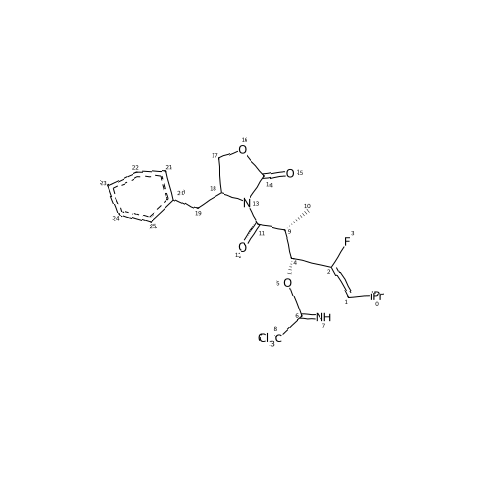 CC(C)/C=C(\F)[C@H](OC(=N)C(Cl)(Cl)Cl)[C@@H](C)C(=O)N1C(=O)OCC1Cc1ccccc1